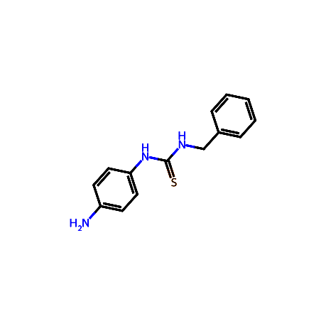 Nc1ccc(NC(=S)NCc2ccccc2)cc1